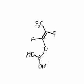 OB(O)OC(F)=C(F)C(F)(F)F